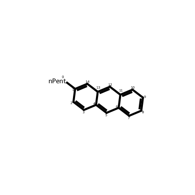 CCCCCc1ccc2cc3ccccc3cc2c1